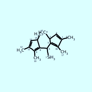 CC1=CC(C)C(C([SiH3])C2=C(C)C(C)=CC2C)=C1C